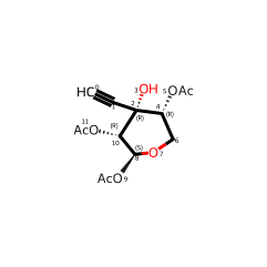 C#C[C@@]1(O)[C@H](OC(C)=O)CO[C@@H](OC(C)=O)[C@@H]1OC(C)=O